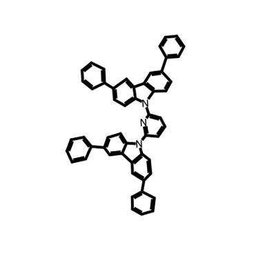 c1ccc(-c2ccc3c(c2)c2cc(-c4ccccc4)ccc2n3-c2cccc(-n3c4ccc(-c5ccccc5)cc4c4cc(-c5ccccc5)ccc43)n2)cc1